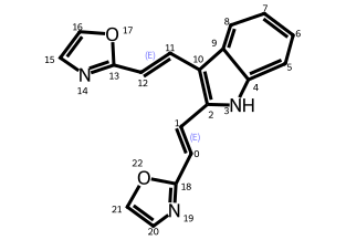 C(=C\c1[nH]c2ccccc2c1/C=C/c1ncco1)/c1ncco1